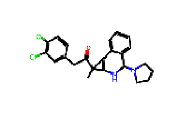 CC1(C(=O)Cc2ccc(Cl)c(Cl)c2)C2NC(N3CCCC3)c3ccccc3C21